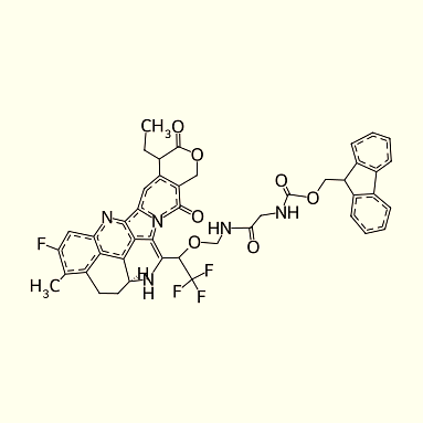 CCC1C(=O)OCc2c1cc1c3nc4cc(F)c(C)c5c4c4c3c(n1c2=O)=C(C(OCNC(=O)CNC(=O)OCC1c2ccccc2-c2ccccc21)C(F)(F)F)N[C@H]4CC5